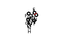 O=C(Nc1cncc(F)c1CCC1CNCCN1S(=O)(=O)c1ccccc1)C(Nc1ccccc1)C(c1cccc(F)c1)c1cccc(F)c1